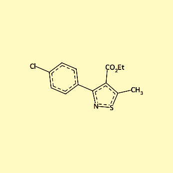 CCOC(=O)c1c(-c2ccc(Cl)cc2)nsc1C